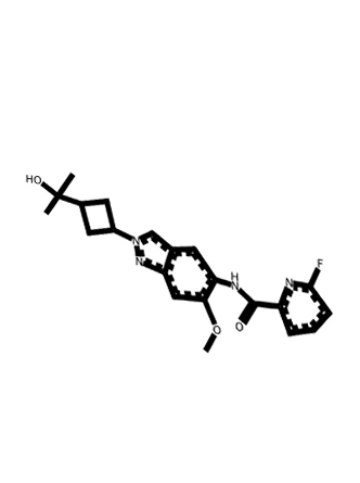 COc1cc2nn(C3CC(C(C)(C)O)C3)cc2cc1NC(=O)c1cccc(F)n1